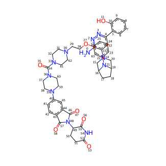 Nc1nnc(-c2ccccc2O)cc1N1CC2CCC(C1)N2c1cccc(OCCN2CCN(C(=O)N3CCN(c4ccc5c(c4)C(=O)N(C4CCC(=O)NC4=O)C5=O)CC3)CC2)c1